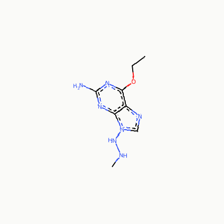 CCOc1nc(N)nc2c1ncn2NNC